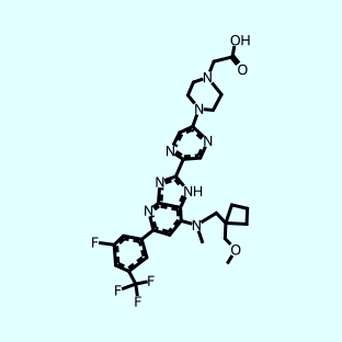 COCC1(CN(C)c2cc(-c3cc(F)cc(C(F)(F)F)c3)nc3nc(-c4cnc(N5CCN(CC(=O)O)CC5)cn4)[nH]c23)CCC1